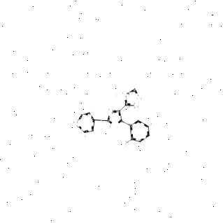 Clc1ccccc1-c1oc(-c2ccncc2)nc1-c1nnc[nH]1